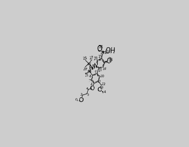 COCCCOc1cc2c(cc1COC)-c1cc(=O)c(C(=O)O)cn1N(C(C)(C)C)[C@@H]2C